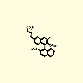 COc1ccc2ccccc2c1-c1c(OC)c(C)cc2cc(CCCC(=O)O)ccc12